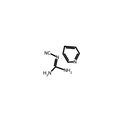 N#CN=C(N)N.c1ccncc1